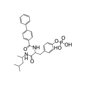 CC(C)CC(C)NC(=O)C(Cc1ccc(OP(=O)(O)O)cc1)NC(=O)c1ccc(-c2ccccc2)cc1